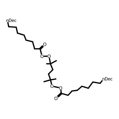 CCCCCCCCCCCCCCCCCC(=O)OOC(C)(C)CCC(C)(C)OOC(=O)CCCCCCCCCCCCCCCCC